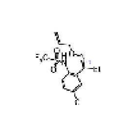 C=CCO/N=C(/CC)c1cc(Cl)ccc1NS(=O)(=O)C(F)(F)F